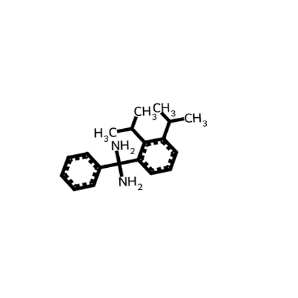 CC(C)c1cccc(C(N)(N)c2ccccc2)c1C(C)C